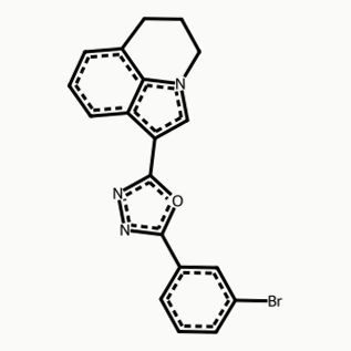 Brc1cccc(-c2nnc(-c3cn4c5c(cccc35)CCC4)o2)c1